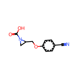 N#Cc1ccc(OCC2CN2C(=O)O)cc1